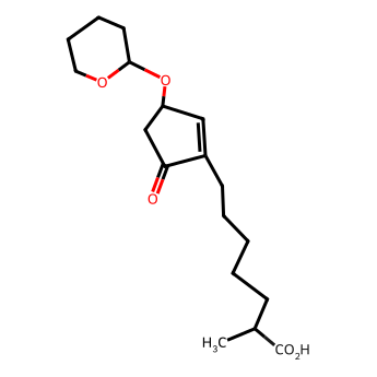 CC(CCCCCC1=CC(OC2CCCCO2)CC1=O)C(=O)O